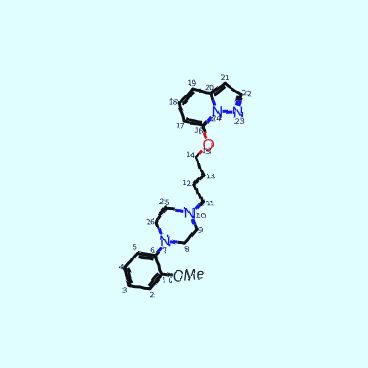 COc1ccccc1N1CCN(CCCCOc2cccc3ccnn23)CC1